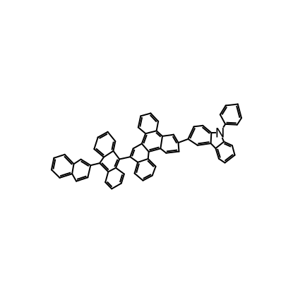 c1ccc(-n2c3ccccc3c3cc(-c4ccc5c(c4)c4ccccc4c4cc(-c6c7ccccc7c(-c7ccc8ccccc8c7)c7ccccc67)c6ccccc6c54)ccc32)cc1